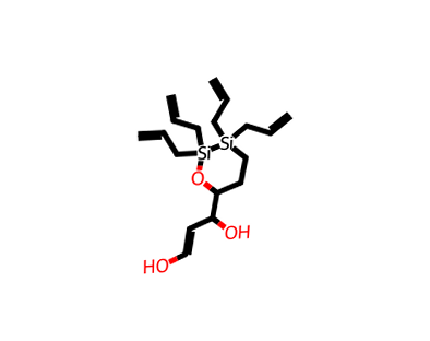 C=CC[Si]1(CC=C)CCC(C(O)C=CO)O[Si]1(CC=C)CC=C